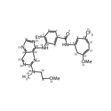 CCc1ccc(C(=O)NC2=CC(C(F)(F)F)=CC=C(OC)C2)cc1Nc1ncnc2cnc(N(C)CCOC)nc12